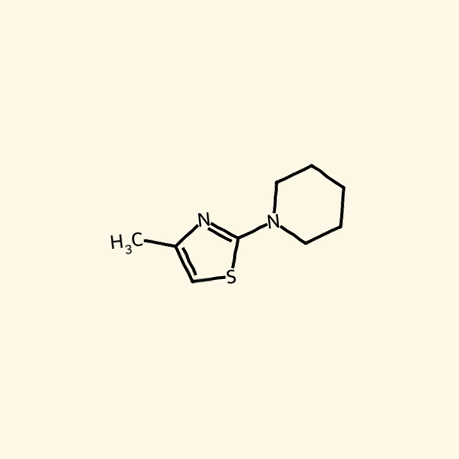 Cc1csc(N2CCCCC2)n1